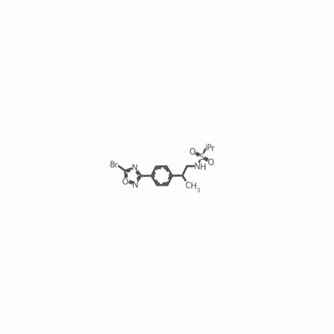 CC(CNS(=O)(=O)C(C)C)c1ccc(-c2noc(Br)n2)cc1